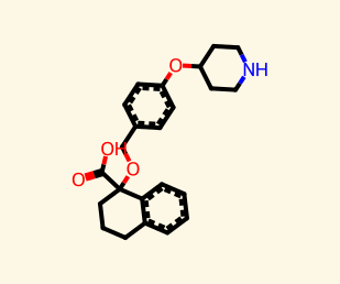 O=C(O)C1(OCc2ccc(OC3CCNCC3)cc2)CCCc2ccccc21